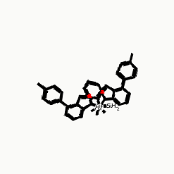 Cc1ccc(-c2cccc3c2C=C[CH]3[Hf]([CH3])([CH3])([CH3])(=[SiH2])([c]2ccccc2)[CH]2C=Cc3c(-c4ccc(C)cc4)cccc32)cc1